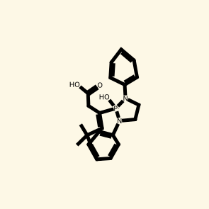 CC(C)(C)C=C(CC(=O)O)[P]1(O)N(c2ccccc2)CCN1c1ccccc1